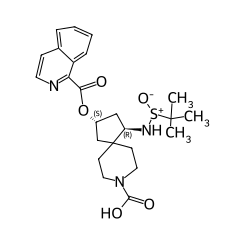 CC(C)(C)[S+]([O-])N[C@@H]1C[C@@H](OC(=O)c2nccc3ccccc23)CC12CCN(C(=O)O)CC2